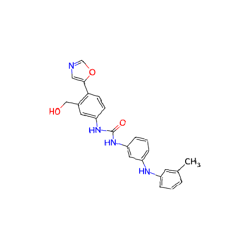 Cc1cccc(Nc2cccc(NC(=O)Nc3ccc(-c4cnco4)c(CO)c3)c2)c1